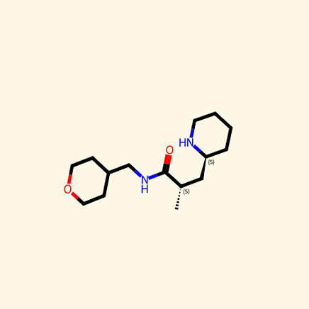 C[C@@H](C[C@@H]1CCCCN1)C(=O)NCC1CCOCC1